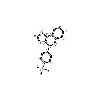 C[Si](C)(C)c1ccc(-c2nc3ccccc3c3occc23)cc1